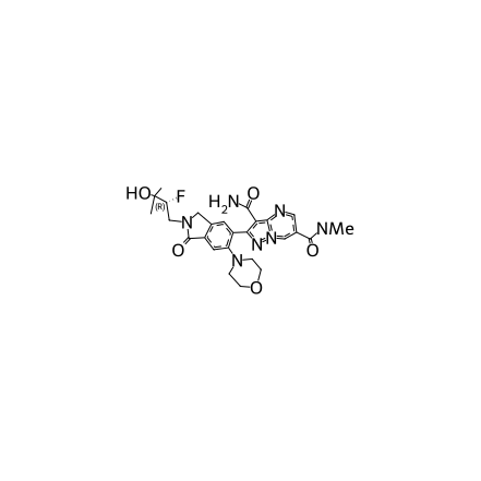 CNC(=O)c1cnc2c(C(N)=O)c(-c3cc4c(cc3N3CCOCC3)C(=O)N(C[C@@H](F)C(C)(C)O)C4)nn2c1